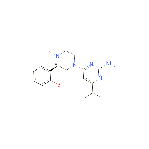 CC(C)c1cc(N2CCN(C)[C@H](c3ccccc3Br)C2)nc(N)n1